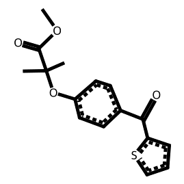 COC(=O)C(C)(C)Oc1ccc(C(=O)c2cccs2)cc1